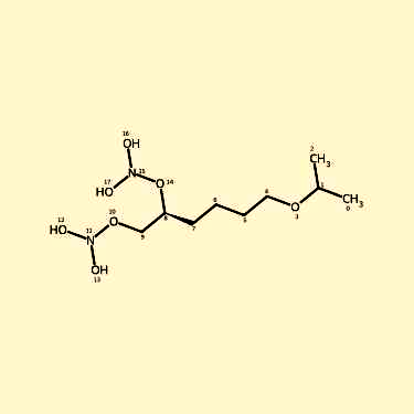 CC(C)OCCCC[C@@H](CON(O)O)ON(O)O